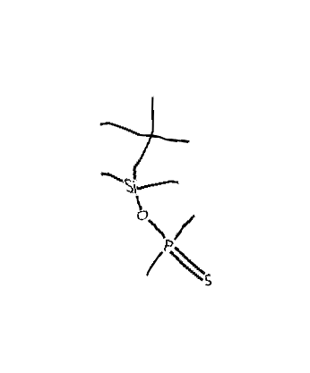 CC(C)(C)[Si](C)(C)OP(C)(C)=S